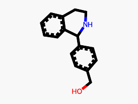 OCc1ccc(C2NCCc3ccccc32)cc1